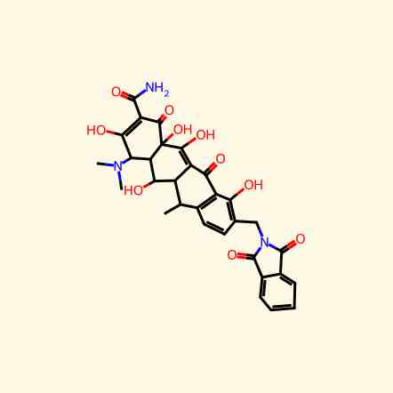 CC1c2ccc(CN3C(=O)c4ccccc4C3=O)c(O)c2C(=O)C2=C(O)C3(O)C(=O)C(C(N)=O)=C(O)C(N(C)C)C3C(O)C21